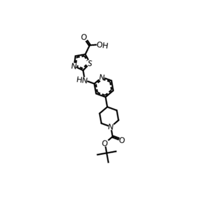 CC(C)(C)OC(=O)N1CCC(c2ccnc(Nc3ncc(C(=O)O)s3)c2)CC1